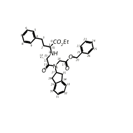 CCOC(=O)[C@H](CCc1ccccc1)N[C@@H](C)C(=O)N(CC(=O)OCc1ccccc1)C1Cc2ccccc2C1